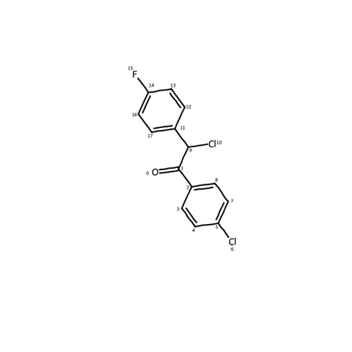 O=C(c1ccc(Cl)cc1)C(Cl)c1ccc(F)cc1